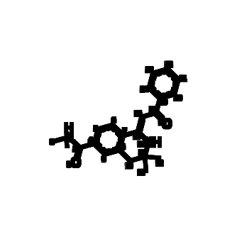 CNC(=O)c1ccc2c(c1)CC(C)(C)N/C2=C\C(=O)c1ccccc1